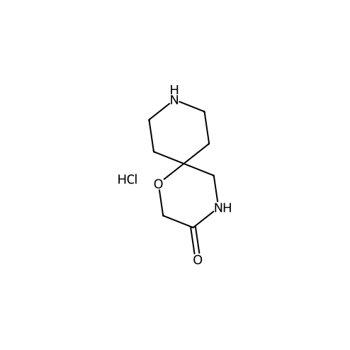 Cl.O=C1COC2(CCNCC2)CN1